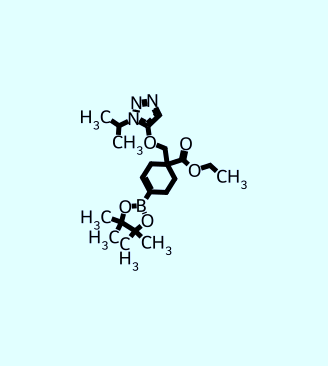 CCOC(=O)C1(COc2cnnn2C(C)C)CC=C(B2OC(C)(C)C(C)(C)O2)CC1